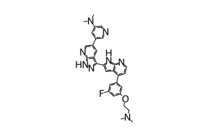 CN(C)CCOc1cc(F)cc(-c2ccnc3[nH]c(-c4n[nH]c5ncc(-c6cncc(N(C)C)c6)cc45)cc23)c1